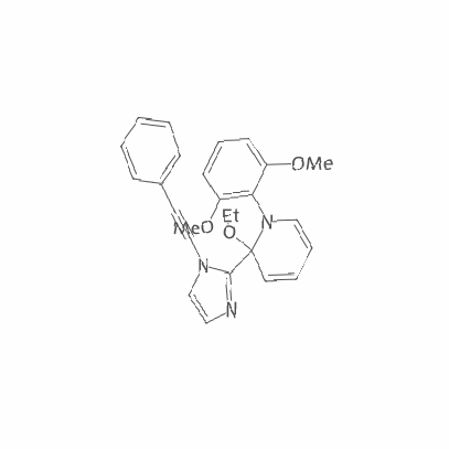 CCOC1(c2nccn2C#Cc2ccccc2)C=CC=CN1c1c(OC)cccc1OC